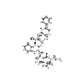 COC(=O)N[C@H](C(=O)N[C@@H](CCC(Cc1ccc(-c2ccncc2)cc1)N(O)C(=O)O)Cc1ccccc1)C(C)(C)C